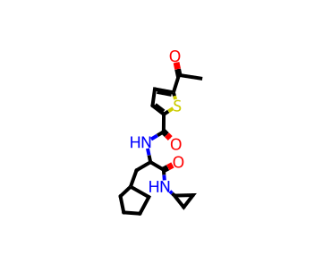 CC(=O)c1ccc(C(=O)NC(CC2CCCC2)C(=O)NC2CC2)s1